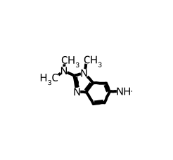 CN(C)c1nc2ccc([NH])cc2n1C